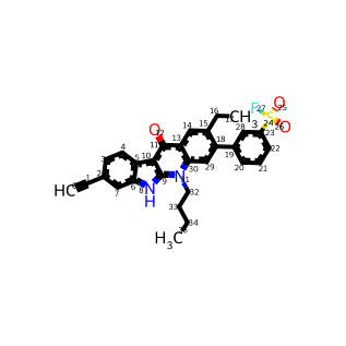 C#Cc1ccc2c(c1)[nH]c1c2c(=O)c2cc(CC)c(-c3cccc(S(=O)(=O)F)c3)cc2n1CCCC